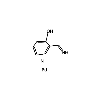 N=Cc1ccccc1O.[Ni].[Pd]